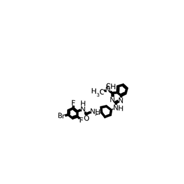 CN(C)c1nc(N[C@H]2CC[C@@H](CNC(=O)Nc3c(F)cc(Br)cc3F)CC2)nc2ccccc12